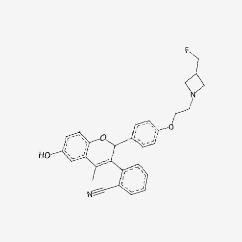 CC1=C(c2ccccc2C#N)C(c2ccc(OCCN3CC(CF)C3)cc2)Oc2ccc(O)cc21